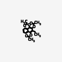 CCc1c(OC(C)=O)c(OC(C)=O)c2ccccc2c1OC(C)=O